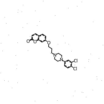 O=c1ccc2ccc(OCCCN3CCN(c4ccc(Cl)c(Cl)c4)CC3)cc2o1